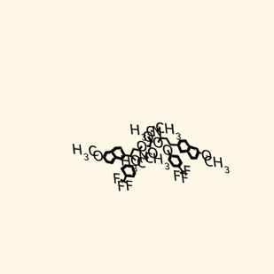 COc1ccc2cc(C(CC(OC(=O)C(=O)OC(CC(Oc3ccc(C(F)(F)F)cc3)c3ccc4cc(OC)ccc4c3)N(C)C)N(C)C)Oc3ccc(C(F)(F)F)cc3)ccc2c1